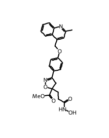 COC(=O)C1(CCC(=O)NO)CC(c2ccc(OCc3cc(C)nc4ccccc34)cc2)=NO1